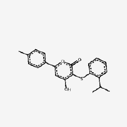 Cc1ccc(-c2cc(O)c(Sc3ccccc3C(C)C)c(=O)o2)cc1